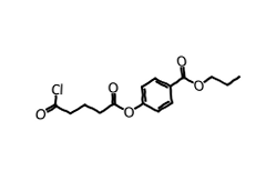 CCCOC(=O)c1ccc(OC(=O)CCCC(=O)Cl)cc1